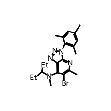 CCC(CC)N(C)c1c(Br)c(C)nc2c1nnn2-c1c(C)cc(C)cc1C